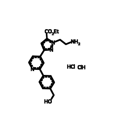 CCOC(=O)c1cc(-c2ccnc(-c3ccc(CO)cc3)c2)nn1CCN.Cl.Cl